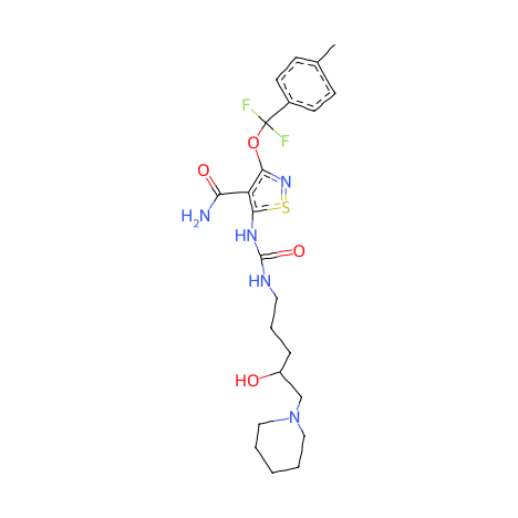 Cc1ccc(C(F)(F)Oc2nsc(NC(=O)NCCCC(O)CN3CCCCC3)c2C(N)=O)cc1